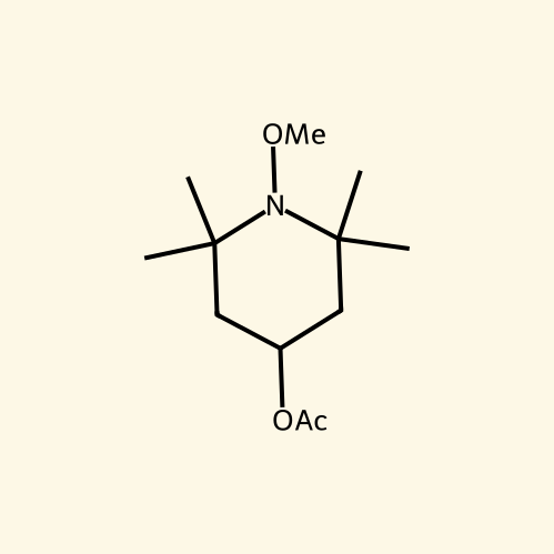 CON1C(C)(C)CC(OC(C)=O)CC1(C)C